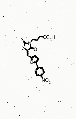 O=C(O)CCCN1C(=O)/C(=C\c2ccc(-c3ccc([N+](=O)[O-])cc3)o2)SC1=S